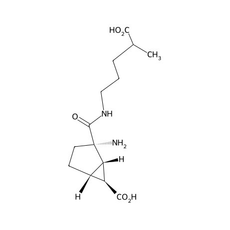 CC(CCCNC(=O)[C@]1(N)CC[C@H]2[C@H](C(=O)O)[C@H]21)C(=O)O